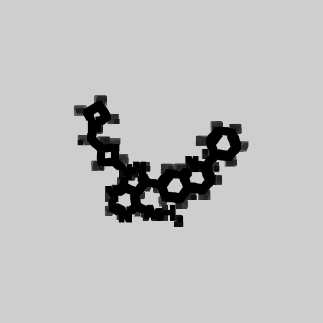 [AsH2]c1ncnc2c1c(-c1ccc3ccc(-c4ccccc4)nc3c1)nn2C1CC(CN2CCC2)C1